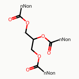 CCCCCCCCCC(=O)O[CH]C(COC(=O)CCCCCCCCC)OC(=O)CCCCCCCCC